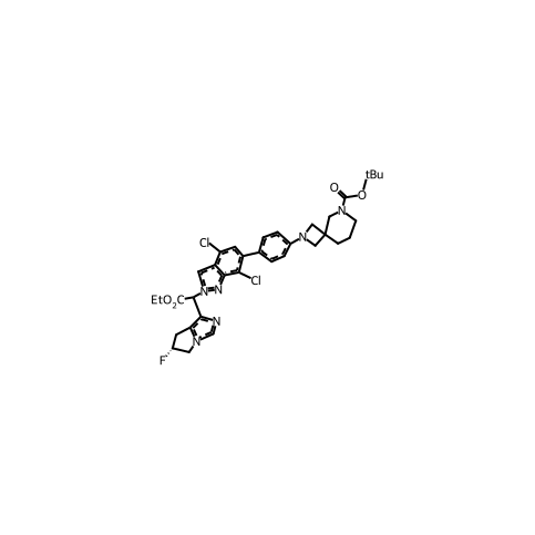 CCOC(=O)C(c1ncn2c1C[C@@H](F)C2)n1cc2c(Cl)cc(-c3ccc(N4CC5(CCCN(C(=O)OC(C)(C)C)C5)C4)cc3)c(Cl)c2n1